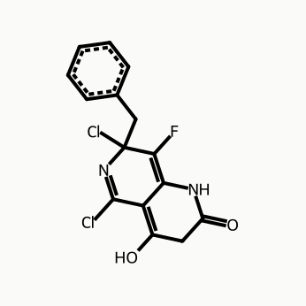 O=C1CC(O)=C2C(Cl)=NC(Cl)(Cc3ccccc3)C(F)=C2N1